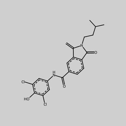 C=C1c2cc(C(=O)Nc3cc(Cl)c(O)c(Cl)c3)ccc2C(=O)N1CCC(C)C